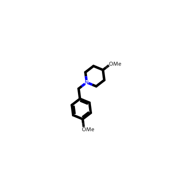 COc1ccc(CN2CCC(OC)CC2)cc1